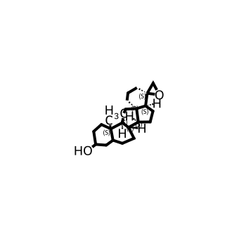 C[C@]12CCC(O)CC1CC[C@H]1[C@@H]3CC[C@@H]4[C@@]5(CCC[C@]43CC[C@@H]12)CO5